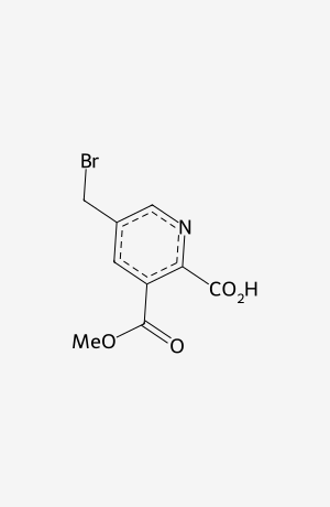 COC(=O)c1cc(CBr)cnc1C(=O)O